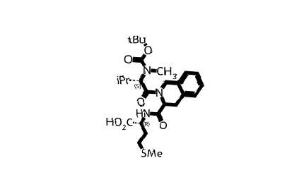 CSCC[C@@H](NC(=O)C1Cc2ccccc2CN1C(=O)[C@H](C(C)C)N(C)C(=O)OC(C)(C)C)C(=O)O